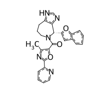 Cc1nc(-c2ccccn2)oc1C(=O)N1CCCc2[nH]cnc2[C@@H]1c1cc2ccccc2o1